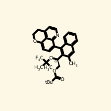 Cc1cc2ccccc2c(-c2ccc3c4c(ccnc24)CCO3)c1[C@@H](COC(=O)C(C)(C)C)OC(C)(C)C(F)(F)F